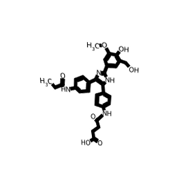 CCC(=O)Nc1ccc(-c2nc(-c3cc(CO)c(O)c(OC)c3)[nH]c2-c2ccc(NC(=O)CCC(=O)O)cc2)cc1